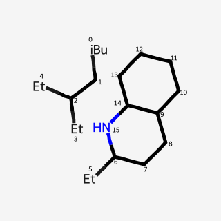 CCC(C)CC(CC)CC.CCC1CCC2CCCCC2N1